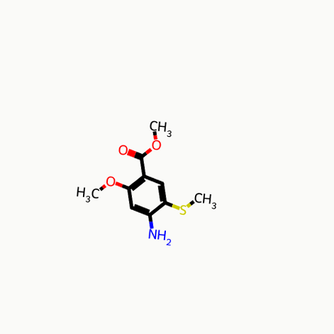 COC(=O)c1cc(SC)c(N)cc1OC